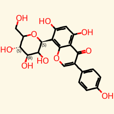 O=c1c(-c2ccc(O)cc2)coc2c([C@@H]3OC(CO)[C@@H](O)[C@H](O)C3O)c(O)cc(O)c12